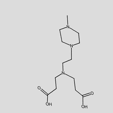 CN1CCN(CCN(CCC(=O)O)CCC(=O)O)CC1